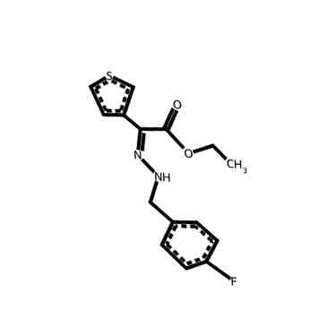 CCOC(=O)C(=NNCc1ccc(F)cc1)c1ccsc1